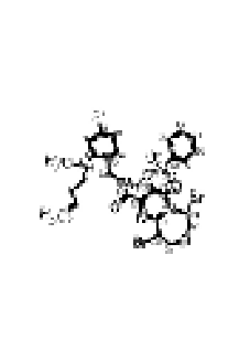 C=CCCN(C)c1cc(F)ccc1CNC(=O)c1nc2n(c(=O)c1OS(=O)(=O)c1ccccc1)[C@@H](CC)COCC2Br